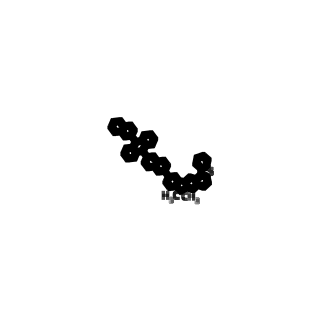 CC1(C)c2ccc(-c3ccc4cc(-c5c6ccccc6c(-c6ccc7ccccc7c6)c6ccccc56)ccc4c3)cc2-c2cc3c(ccc4sc5ccccc5c43)cc21